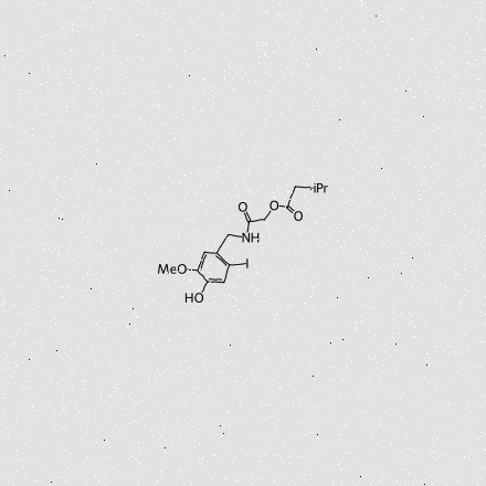 COc1cc(CNC(=O)COC(=O)CC(C)C)c(I)cc1O